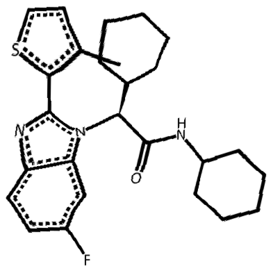 Cc1ccsc1-c1nc2ccc(F)cc2n1[C@H](C(=O)NC1CCCCC1)C1CCCCC1